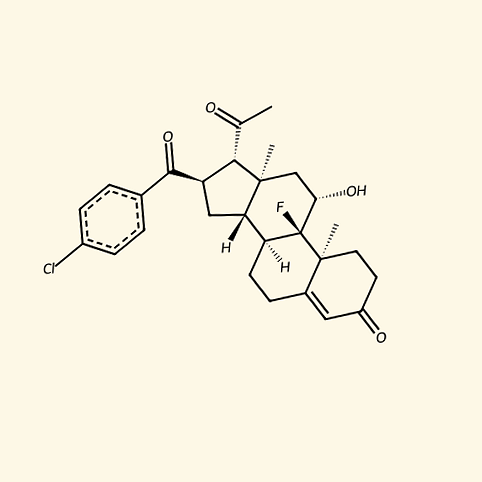 CC(=O)[C@H]1[C@H](C(=O)c2ccc(Cl)cc2)C[C@H]2[C@@H]3CCC4=CC(=O)CC[C@]4(C)[C@@]3(F)[C@@H](O)C[C@@]21C